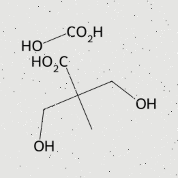 CC(CO)(CO)C(=O)O.O=C(O)O